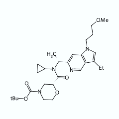 CCc1cn(CCCOC)c2cc([C@@H](C)N(C(=O)[C@H]3CN(C(=O)OC(C)(C)C)CCO3)C3CC3)ncc12